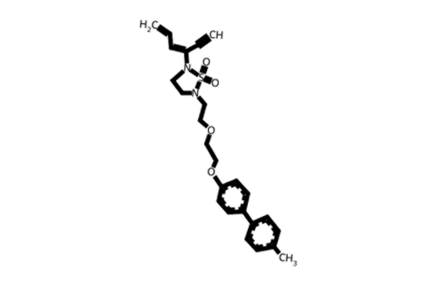 C#C/C(=C\C=C)N1CCN(CCOCCOc2ccc(-c3ccc(C)cc3)cc2)S1(=O)=O